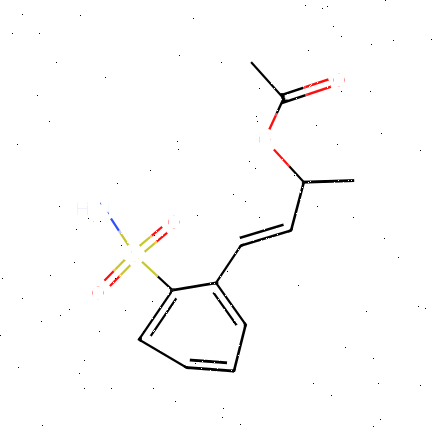 CC(=O)OC(C)/C=C/c1ccccc1S(N)(=O)=O